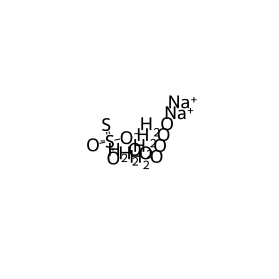 O.O.O.O.O.O.O=S([O-])([O-])=S.[Na+].[Na+]